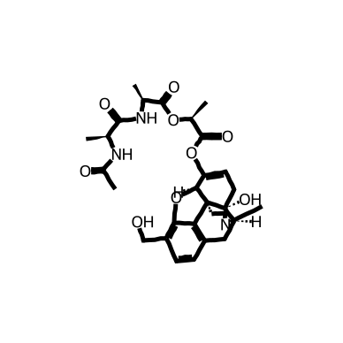 CC(=O)N[C@@H](C)C(=O)N[C@@H](C)C(=O)O[C@@H](C)C(=O)OC1=CC[C@@]2(O)[C@H]3Cc4ccc(CO)c5c4[C@@]2(CCN3C)[C@H]1O5